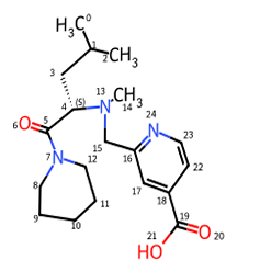 CC(C)C[C@@H](C(=O)N1CCCCC1)N(C)Cc1cc(C(=O)O)ccn1